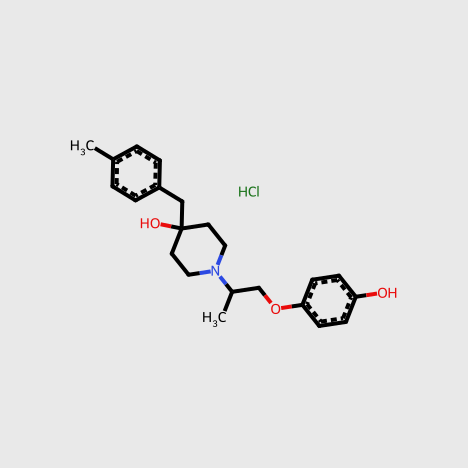 Cc1ccc(CC2(O)CCN(C(C)COc3ccc(O)cc3)CC2)cc1.Cl